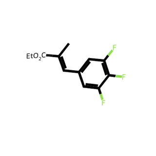 CCOC(=O)C(C)=Cc1cc(F)c(F)c(F)c1